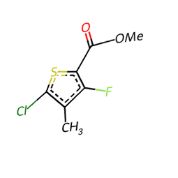 COC(=O)c1sc(Cl)c(C)c1F